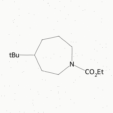 CCOC(=O)N1CCCC(C(C)(C)C)CC1